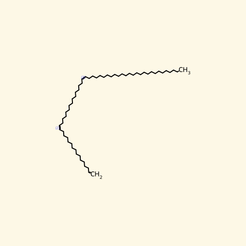 C=CCCCCCCCCCCCCC/C=C\CCCCCCCCCCCCC/C=C\CCCCCCCCCCCCCCCCCCCCCCCCCC